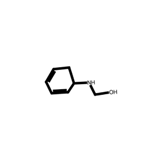 OCNC1C=CC=CC1